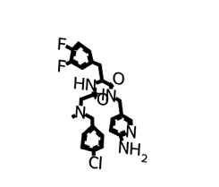 CN(CC(=O)NC(Cc1ccc(F)c(F)c1)C(=O)NCc1ccc(N)nc1)Cc1ccc(Cl)cc1